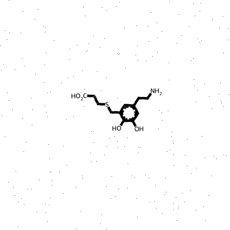 NCCc1cc(O)c(O)c(CSCCC(=O)O)c1